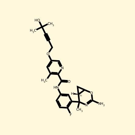 Cc1cc(OCC#CC(C)(C)O)cnc1C(=O)Nc1ccc(F)c(C2(C)N=C(N)OC3C[C@H]32)c1